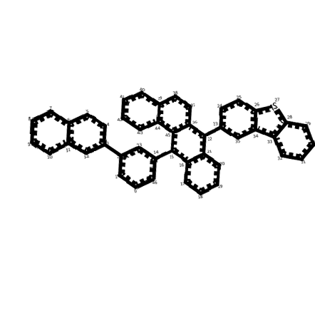 c1cc(-c2ccc3ccccc3c2)cc(-c2c3ccccc3c(-c3ccc4sc5ccccc5c4c3)c3ccc4ccccc4c23)c1